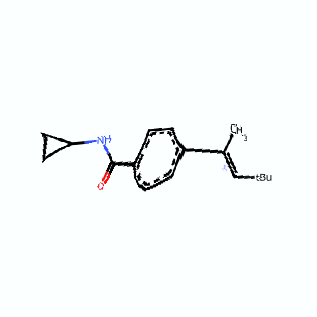 C/C(=C\C(C)(C)C)c1ccc(C(=O)NC2CC2)cc1